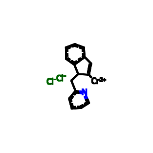 [Cl-].[Cl-].[Cr+2][C]1=Cc2ccccc2C1Cc1ccccn1